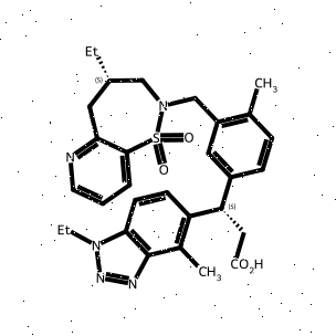 CC[C@H]1Cc2ncccc2S(=O)(=O)N(Cc2cc([C@H](CC(=O)O)c3ccc4c(nnn4CC)c3C)ccc2C)C1